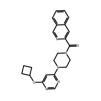 O=C(c1cc2ccccc2cn1)N1CCN(c2cc(OC3CCC3)ncn2)CC1